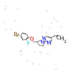 CCc1cnc(N2CCC(COc3ccc(Br)cc3F)C2)nc1